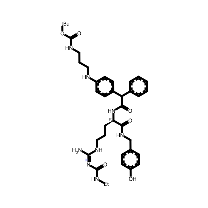 CCNC(=O)/N=C(/N)NCCC[C@@H](NC(=O)C(c1ccccc1)c1ccc(NCCCNC(=O)OC(C)(C)C)cc1)C(=O)NCc1ccc(O)cc1